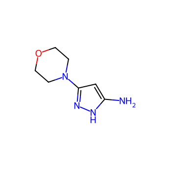 Nc1cc(N2CCOCC2)n[nH]1